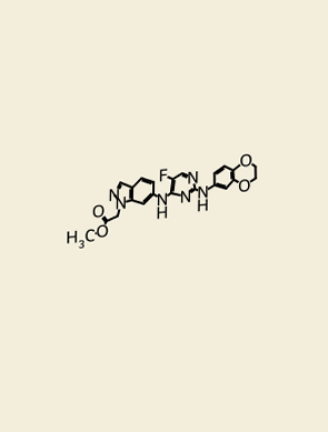 COC(=O)Cn1ncc2ccc(Nc3nc(Nc4ccc5c(c4)OCCO5)ncc3F)cc21